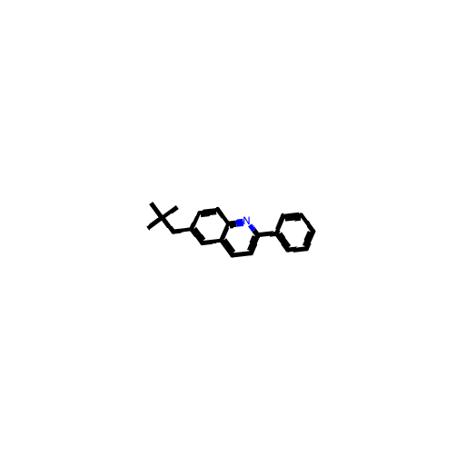 CC(C)(C)Cc1ccc2nc(-c3ccccc3)ccc2c1